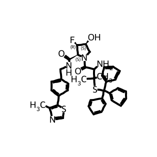 Cc1ncsc1-c1ccc(CNC(=O)[C@H]2[C@@H](F)[C@@H](O)CN2C(=O)C(N)C(C)(C)SC(c2ccccc2)(c2ccccc2)c2ccccc2)cc1